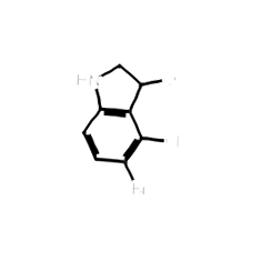 OC1CNc2ccc(Br)c(Cl)c21